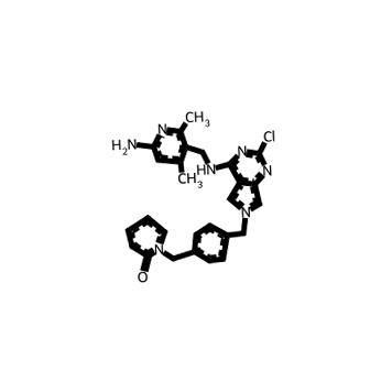 Cc1cc(N)nc(C)c1CNc1nc(Cl)nc2cn(Cc3ccc(Cn4ccccc4=O)cc3)cc12